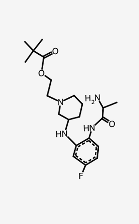 CC(N)C(=O)Nc1ccc(F)cc1NC1CCCN(CCOC(=O)C(C)(C)C)C1